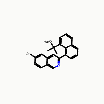 COC(C)(C)c1cccc2cccc(-c3cc4cc(C(C)C)ccc4cn3)c12